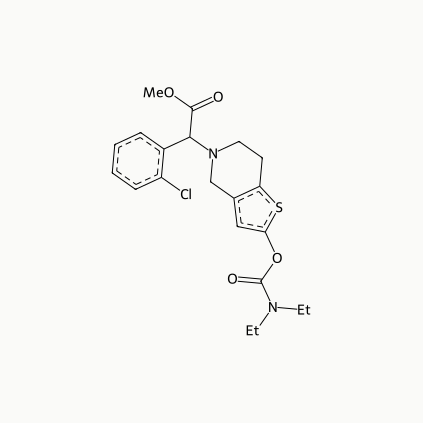 CCN(CC)C(=O)Oc1cc2c(s1)CCN(C(C(=O)OC)c1ccccc1Cl)C2